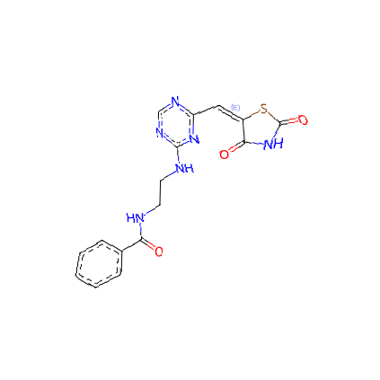 O=C1NC(=O)/C(=C\c2ncnc(NCCNC(=O)c3ccccc3)n2)S1